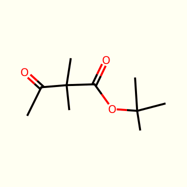 CC(=O)C(C)(C)C(=O)OC(C)(C)C